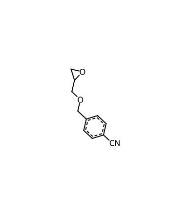 N#Cc1ccc(COCC2CO2)cc1